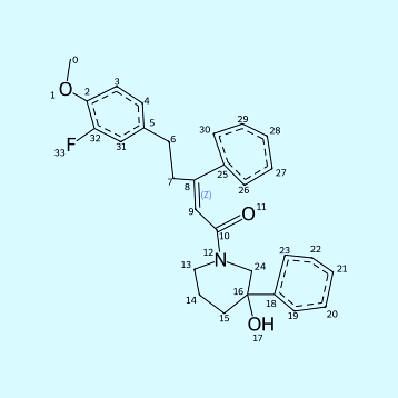 COc1ccc(CC/C(=C/C(=O)N2CCCC(O)(c3ccccc3)C2)c2ccccc2)cc1F